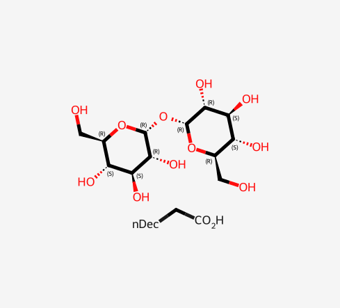 CCCCCCCCCCCC(=O)O.OC[C@H]1O[C@H](O[C@H]2O[C@H](CO)[C@@H](O)[C@H](O)[C@H]2O)[C@H](O)[C@@H](O)[C@@H]1O